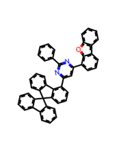 c1ccc(-c2nc(-c3cccc4c3-c3ccccc3C43c4ccccc4-c4ccccc43)cc(-c3cccc4c3oc3ccccc34)n2)cc1